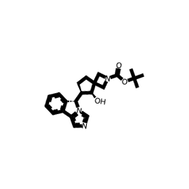 CC(C)(C)OC(=O)N1CC2(CC[C@H]([C@H]3c4ccccc4-c4cncn43)[C@@H]2O)C1